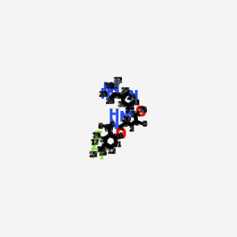 Cc1cc(C(=O)N[C@H](C)c2cccc(C(F)(F)F)c2F)nn(-c2cncc(-c3cnnn3C)c2)c1=O